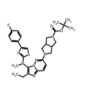 CCc1nc2ccc(N3CC4CN(C(=O)OC(C)(C)C)CC4C3)nn2c1N(C)c1nc(-c2ccc(F)cc2)cs1